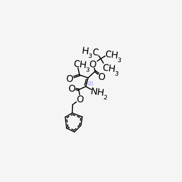 CC(=O)/C(C(=O)OC(C)(C)C)=C(/N)C(=O)OCc1ccccc1